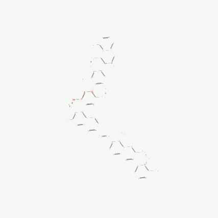 Cc1cc(/N=N\c2c(S(=O)(=O)O)cc3c(S(=O)(=O)O)c(N=Nc4cc(S(=O)(=O)O)c5cc(S(=O)(=O)O)c(/N=N\c6ccc(S(=O)(=O)O)cc6[N+](=O)[O-])c(O)c5c4N)ccc3c2O)c(OCCCS(=O)(=O)O)cc1/N=N\c1cc(C)c(/N=N\c2cc(S(=O)(=O)O)cc3cc(S(=O)(=O)O)cc(O)c23)cc1OCCCS(=O)(=O)O